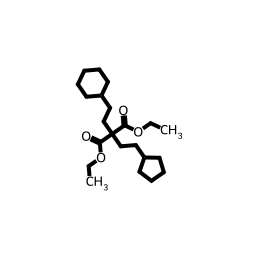 CCOC(=O)C(CCC1CCCCC1)(CCC1CCCC1)C(=O)OCC